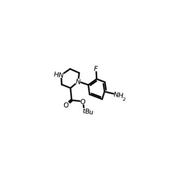 CC(C)(C)OC(=O)C1CNCCN1c1ccc(N)cc1F